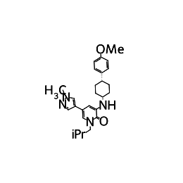 COc1ccc([C@H]2CC[C@@H](Nc3cc(-c4cnn(C)c4)cn(CC(C)C)c3=O)CC2)cc1